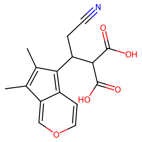 Cc1c2coccc-2c(C(CC#N)C(C(=O)O)C(=O)O)c1C